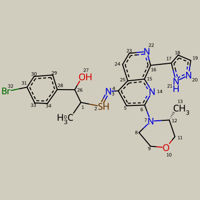 CC([SH]=Nc1cc(N2CCOC[C@H]2C)nc2c(-c3ccn[nH]3)nccc12)C(O)c1ccc(Br)cc1